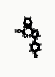 O=C(O)N1C2CCC(C2)C1c1ncc(-c2ccc(Br)cc2)[nH]1